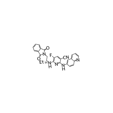 CC[C@H](CN1C(=O)c2ccccc2C1=O)Nc1nc(Nc2ccc3ncccc3c2)c(C#N)cc1F